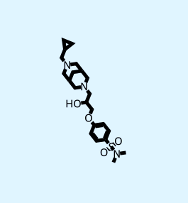 CN(C)S(=O)(=O)c1ccc(OCC(O)CN2CC3CC(C2)CN(CC2CC2)C3)cc1